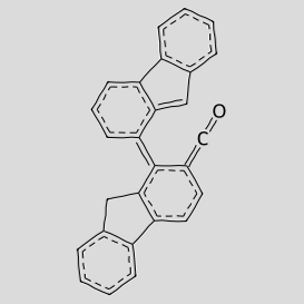 O=C=c1ccc2c(c1=c1cccc3c1=Cc1ccccc1-3)Cc1ccccc1-2